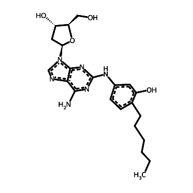 CCCCCCc1ccc(Nc2nc(N)c3ncn([C@H]4C[C@H](O)[C@@H](CO)O4)c3n2)cc1O